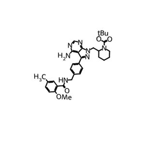 COc1ccc(C)cc1C(=O)NCc1ccc(-c2nn(CC3CCCCN3C(=O)OC(C)(C)C)c3ncnc(N)c23)cc1